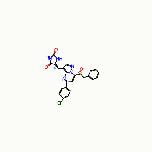 O=C1NC(=O)/C(=C/c2cnn3c([S+]([O-])Cc4ccccc4)cc(-c4ccc(Cl)cc4)nc23)N1